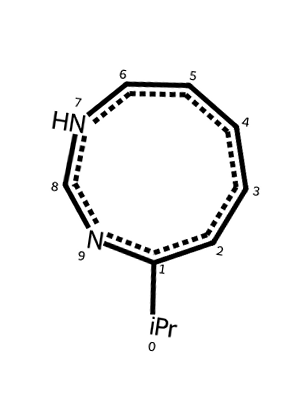 CC(C)c1ccccc[nH]cn1